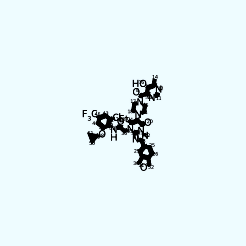 CCc1c(N2CCN(C(=O)c3ncnc(C)c3O)CC2)c(=O)n2nc(-c3ccc4c(c3)COC4)nc2n1CC(=O)Nc1c(Cl)cc(C(F)(F)F)cc1OC1CC1